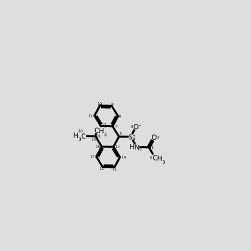 CC(=O)N[S+]([O-])C(c1ccccc1)c1ccccc1C(C)C